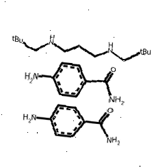 CC(C)(C)CNCCCNCC(C)(C)C.NC(=O)c1ccc(N)cc1.NC(=O)c1ccc(N)cc1